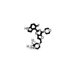 CC1(C)CN(Cc2cc3nc(-c4c(F)ccc5[nH]ccc45)nc(N4CCOCC4)c3o2)CCN1